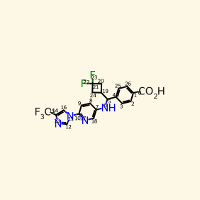 O=C(O)c1ccc(C(Nc2ccc(-n3cnc(C(F)(F)F)c3)nc2)C2CC(F)(F)C2)cc1